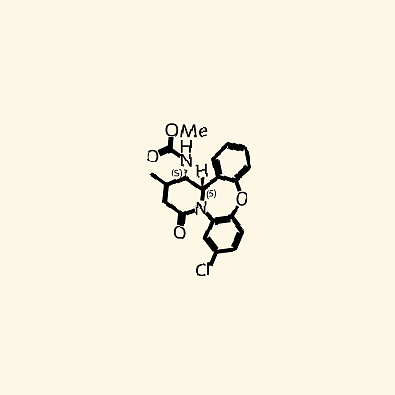 COC(=O)N[C@H]1C(C)CC(=O)N2c3cc(Cl)ccc3Oc3ccccc3[C@@H]12